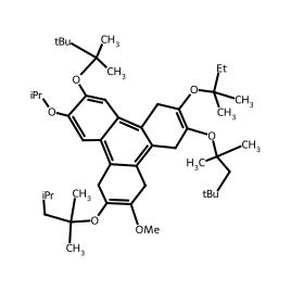 CCC(C)(C)OC1=C(OC(C)(C)CC(C)(C)C)Cc2c3c(c4cc(OC(C)C)c(OC(C)(C)C(C)(C)C)cc4c2C1)CC(OC(C)(C)CC(C)C)=C(OC)C3